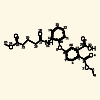 CCOC(=O)c1ccc(Oc2ccccc2NC(=O)CCCC(=O)OC)cc1C(=O)O